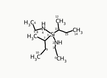 CCN[Si](NCC)(C(C)CC)C(C)CC